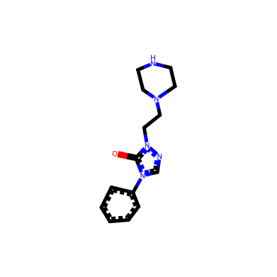 O=c1n(-c2ccccc2)cnn1CCN1CCNCC1